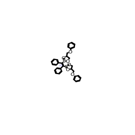 c1ccc(OCC2COB(/C(=C(\B3OCC(COc4ccccc4)O3)c3ccccc3)c3ccccc3)O2)cc1